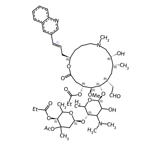 CCC(=O)O[C@@H]1CC(=O)O[C@@H](C/C=C/c2cnc3ccccc3c2)CCCN(C)C[C@H](O)[C@H](C)C[C@H](CC=O)[C@H](O[C@@H]2OC(C)[C@@H](O[C@H]3CC(C)(OC(C)=O)[C@@H](OC(=O)CC)C(C)O3)C(N(C)C)C2O)[C@H]1OC